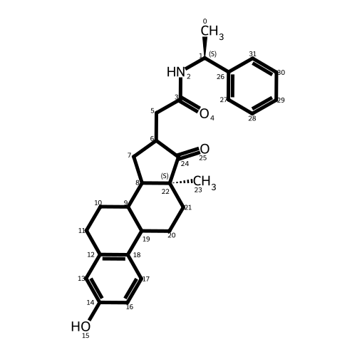 C[C@H](NC(=O)CC1CC2C3CCc4cc(O)ccc4C3CC[C@]2(C)C1=O)c1ccccc1